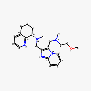 COCCN(C)Cc1c(CN(C)[C@H]2CCCc3cccnc32)nc2ccccn12